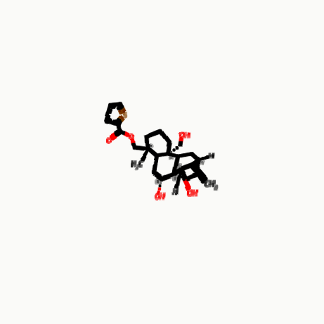 C=C1[C@H]2CC[C@]3(C(C2)[C@]2(CO)CCC[C@@](C)(COC(=O)c4cccs4)C2C[C@H]3O)[C@H]1O